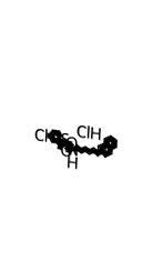 Cc1c(S(=O)(=O)NCCCCCCN2CCc3ccccc3C2)sc2ccc(Cl)cc12.Cl